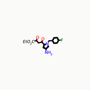 CCOC(=O)C(=O)CC(=O)c1cc(N)cn1Cc1ccc(F)cc1